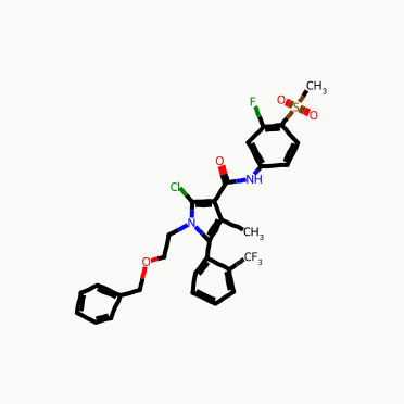 Cc1c(C(=O)Nc2ccc(S(C)(=O)=O)c(F)c2)c(Cl)n(CCOCc2ccccc2)c1-c1ccccc1C(F)(F)F